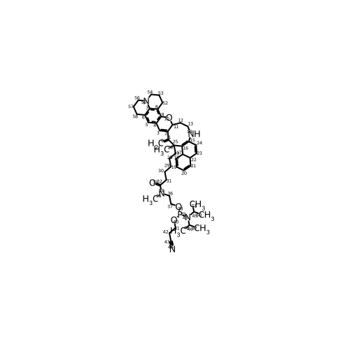 C=C1C2=Cc3cc4c5c(c3OC2CCNC2=C(C3C=CC=CC3C=C2)C1(C)CCCCCC(=O)N(C)CCOP(OCCC#N)N(C(C)C)C(C)C)CCCN5CCC4